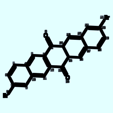 O=C1c2cc3ccc(Br)cc3cc2C(=O)C2C=c3ccc(Br)cc3=CC12